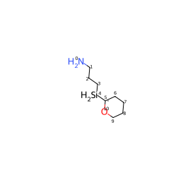 NCCC[SiH2][C]1CCCCO1